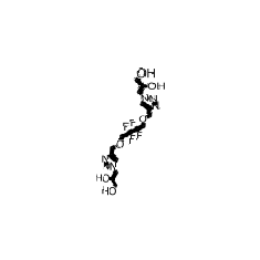 OCC(O)Cn1cc(COCC(F)(F)C(F)(F)COCc2cn(CC(O)CO)nn2)nn1